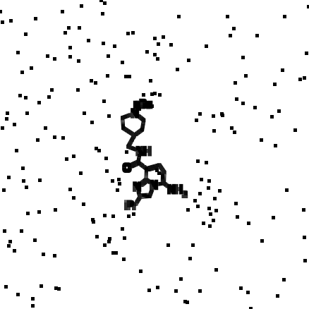 CCCCN1CCC(CNC(=O)c2ccc(N)n3cc(C(C)C)nc23)CC1